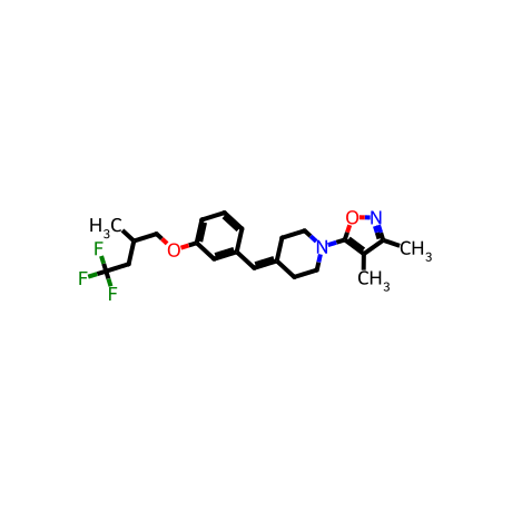 Cc1noc(N2CCC(=Cc3cccc(OCC(C)CC(F)(F)F)c3)CC2)c1C